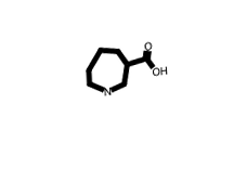 O=C(O)C1CCCC[N]C1